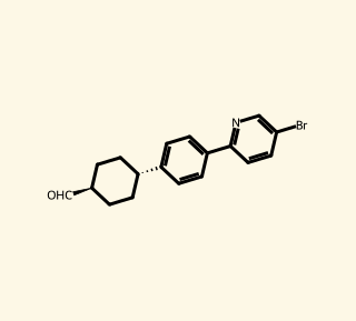 O=C[C@H]1CC[C@H](c2ccc(-c3ccc(Br)cn3)cc2)CC1